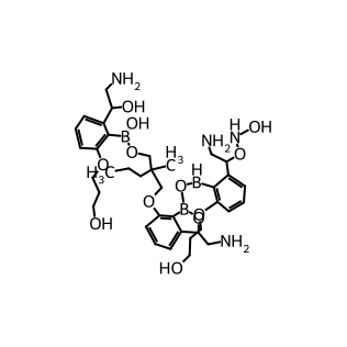 CCCC(C)(COB(O)c1c(OCCCO)cccc1C(O)CN)COc1cccc2c1B(OBc1c(OCCCO)cccc1C(CN)ONO)OC2CN